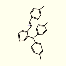 Cc1ccc(/C=C/c2ccccc2N(c2ccc(C)cc2)c2ccc(C)cc2)cc1